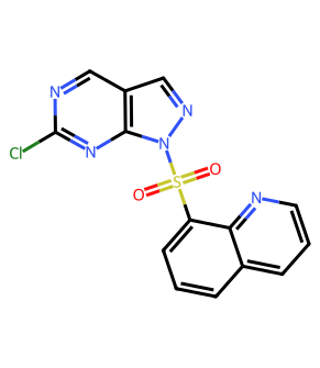 O=S(=O)(c1cccc2cccnc12)n1ncc2cnc(Cl)nc21